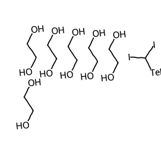 OCCO.OCCO.OCCO.OCCO.OCCO.OCCO.[TeH]C(I)I